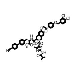 COC(=O)[C@H](Cc1ccc(-c2ccc(C#N)cc2)cc1)NC(=O)C1Cc2cc3c(cc2CN1S(=O)(=O)c1sc(NC(=O)C(C)C)nc1C)O[C@@H](c1ccc(OCc2ccc(Cl)c(Cl)c2)cc1)CO3